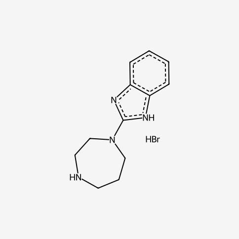 Br.c1ccc2[nH]c(N3CCCNCC3)nc2c1